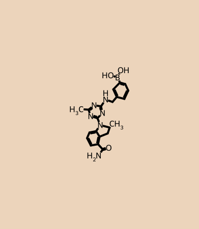 Cc1nc(NCc2cccc(B(O)O)c2)nc(N2c3cccc(C(N)=O)c3CC2C)n1